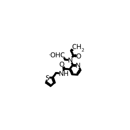 C=CC(=O)N(C[C]=O)c1ncccc1C(=O)NCc1cccs1